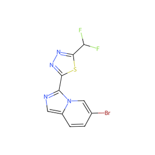 FC(F)c1nnc(-c2ncc3ccc(Br)cn23)s1